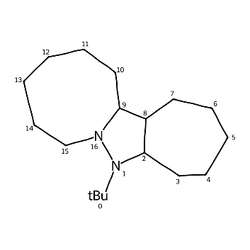 CC(C)(C)N1C2CCCCCC2C2CCCCCCN21